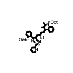 CCCCCCCCN1C(C)=C(C)\C(=C/C=C(/C=c2/c(-c3ccccc3OC)nn3c(-c4ccccn4)nnc23)CC)c2ccccc21